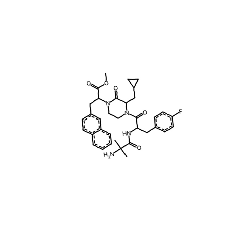 COC(=O)C(Cc1ccc2ccccc2c1)N1CCN(C(=O)C(Cc2ccc(F)cc2)NC(=O)C(C)(C)N)C(CC2CC2)C1=O